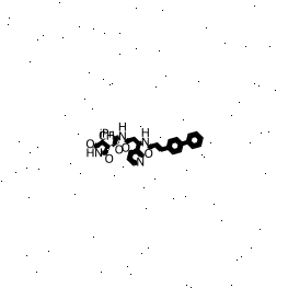 CC(C)[C@H](NC(=O)CC(NC(=O)/C=C/c1ccc(-c2ccccc2)cc1)c1cccnc1)C(=O)[C@@H]1C(=O)NC(=O)[C@H]1C